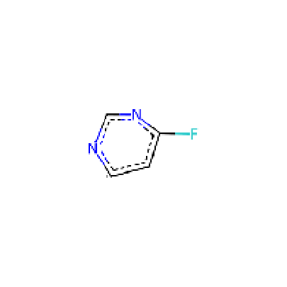 Fc1c[c]ncn1